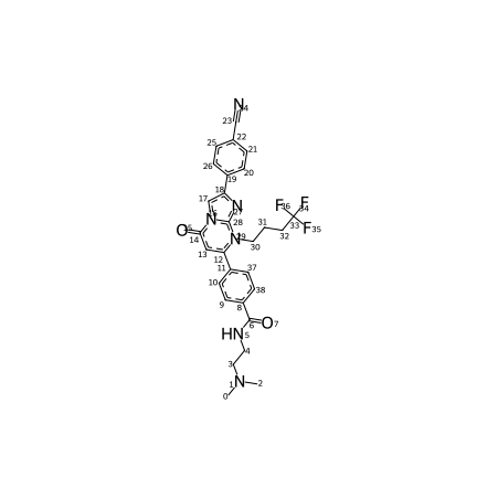 CN(C)CCNC(=O)c1ccc(-c2cc(=O)n3cc(-c4ccc(C#N)cc4)nc3n2CCCC(F)(F)F)cc1